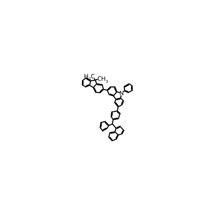 CC1(C)c2ccccc2-c2ccc(-c3ccc4c(c3)c3cc(-c5ccc(C(c6ccccc6)c6cccc7ccccc67)cc5)ccc3n4-c3ccccc3)cc21